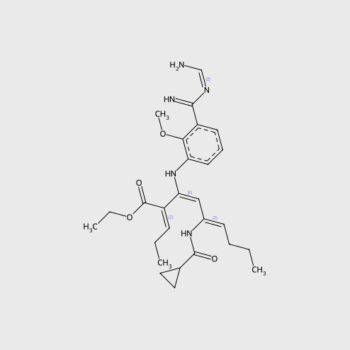 CC/C=C(C(=O)OCC)/C(=C\C(=C\CCC)NC(=O)C1CC1)Nc1cccc(C(=N)/N=C\N)c1OC